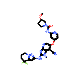 CO[C@H]1CCN(C(=O)Nc2cc(Oc3cnc4nc(Nc5cc6n(n5)CCCC6(F)F)n(C)c4c3C#N)ccn2)C1